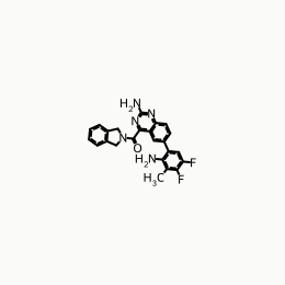 Cc1c(N)c(-c2ccc3nc(N)nc(C(=O)N4Cc5ccccc5C4)c3c2)cc(F)c1F